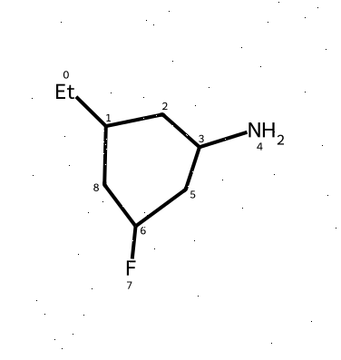 CCC1CC(N)CC(F)C1